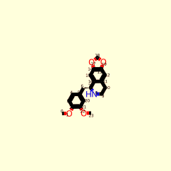 COc1ccc(C[C@H]2NCCc3cc4c(cc32)OCO4)cc1OC